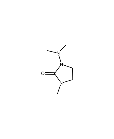 CN1CCN(N(C)C)C1=O